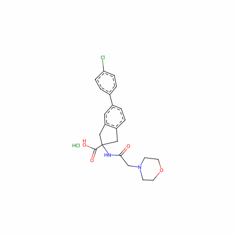 Cl.O=C(CN1CCOCC1)NC1(C(=O)O)Cc2ccc(-c3ccc(Cl)cc3)cc2C1